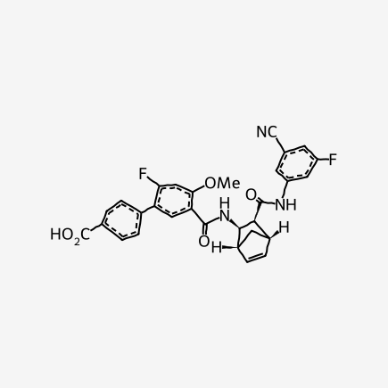 COc1cc(F)c(-c2ccc(C(=O)O)cc2)cc1C(=O)N[C@H]1[C@@H](C(=O)Nc2cc(F)cc(C#N)c2)[C@@H]2C=C[C@H]1C2